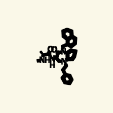 CN[C@@H](C)C(=O)N[C@H]1CN(CCc2ccccc2)c2ccccc2N(Cc2cccc3ccccc23)C1=O